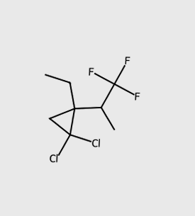 CCC1(C(C)C(F)(F)F)CC1(Cl)Cl